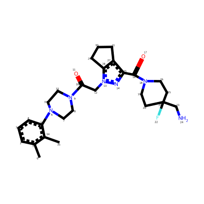 Cc1cccc(N2CCN(C(=O)Cn3nc(C(=O)N4CCC(F)(CN)CC4)c4c3CCC4)CC2)c1C